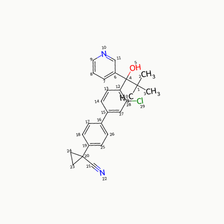 CC(C)(C)C(O)(c1cccnc1)c1ccc(-c2ccc(C3(C#N)CC3)cc2)cc1Cl